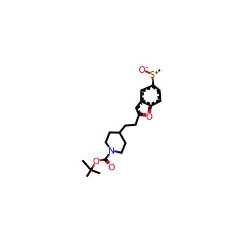 C[S+]([O-])c1ccc2oc(CCC3CCN(C(=O)OC(C)(C)C)CC3)cc2c1